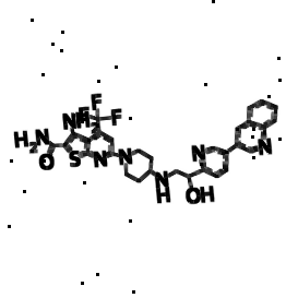 NC(=O)c1sc2nc(N3CCC(NCC(O)c4ccc(-c5cnc6ccccc6c5)cn4)CC3)cc(C(F)(F)F)c2c1N